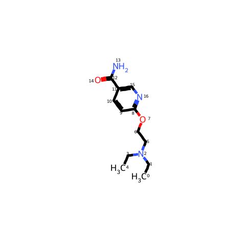 CCN(CC)CCOc1ccc(C(N)=O)cn1